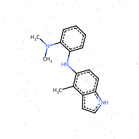 Cc1c(Nc2ccccc2N(C)C)ccc2[nH]ccc12